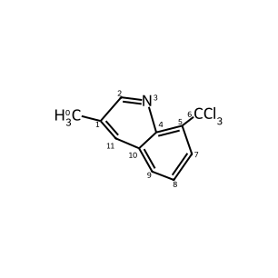 Cc1cnc2c(C(Cl)(Cl)Cl)cccc2c1